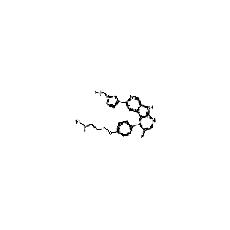 CCNCCCOc1ccc(-c2c(F)cnc3[nH]c4cnc(-c5cnn(C)c5)cc4c23)cc1